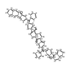 c1ccc(N(c2ccc3c(c2)oc2cc4ccccc4cc23)c2ccc3c(c2)sc2c3ccc3c2ccc2c4ccc(N(c5ccccc5)c5ccc6c(c5)oc5ccc7ccccc7c56)cc4sc23)cc1